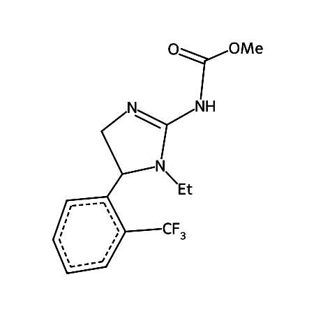 CCN1C(NC(=O)OC)=NCC1c1ccccc1C(F)(F)F